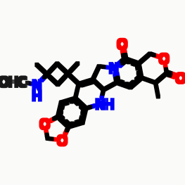 CC1C(=O)OCc2c1cc1n(c2=O)CC2=C(C3(C)CC(C)(NC=O)C3)c3cc4c(cc3NC21)OCO4